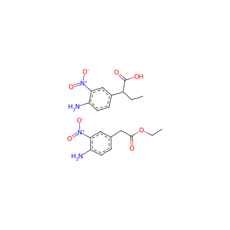 CCC(C(=O)O)c1ccc(N)c([N+](=O)[O-])c1.CCOC(=O)Cc1ccc(N)c([N+](=O)[O-])c1